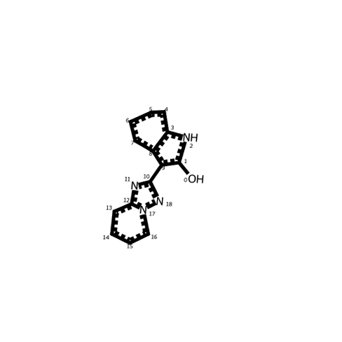 Oc1[nH]c2ccccc2c1-c1nc2ccccn2n1